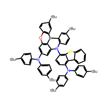 CC(C)(C)c1ccc(N(c2ccc(C(C)(C)C)cc2)c2cc3c4c(c2)N(c2ccc(N(c5ccc(C(C)(C)C)cc5)c5ccc(C(C)(C)C)cc5)c5c2sc2ccccc25)c2ccc(C(C)(C)C)cc2B4c2cc(C(C)(C)C)ccc2O3)cc1